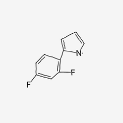 Fc1ccc(C2=CC=C[N]2)c(F)c1